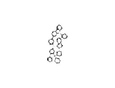 c1ccc(-n2c3ccccc3c3ccc(-c4cccc(N(c5ccc6c(c5)C(c5ccccc5)(c5ccccc5)c5ccccc5-6)c5cccc6ccccc56)c4)cc32)cc1